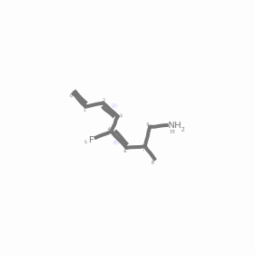 C=C/C=C\C(F)=C/C(C)CN